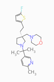 Cc1ccc(C(C)(C)N2CC[C@@](CCc3ccc(F)s3)(CN3CCOCC3)C2)cn1